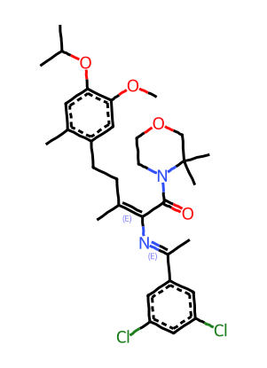 COc1cc(CC/C(C)=C(/N=C(\C)c2cc(Cl)cc(Cl)c2)C(=O)N2CCOCC2(C)C)c(C)cc1OC(C)C